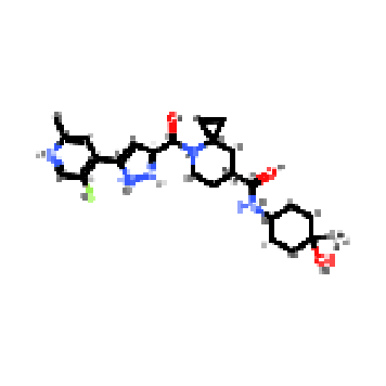 Cc1cc(-c2cc(C(=O)N3CC[C@H](C(=O)NC4CCC(O)(C(F)(F)F)CC4)CC34CC4)n[nH]2)c(F)cn1